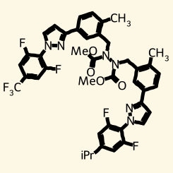 COC(=O)N(Cc1cc(-c2ccn(-c3c(F)cc(C(C)C)cc3F)n2)ccc1C)N(Cc1cc(-c2ccn(-c3c(F)cc(C(F)(F)F)cc3F)n2)ccc1C)C(=O)OC